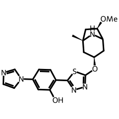 CO[C@@H]1C[C@@]2(C)C[C@H](Oc3nnc(-c4ccc(-n5ccnc5)cc4O)s3)CC1N2